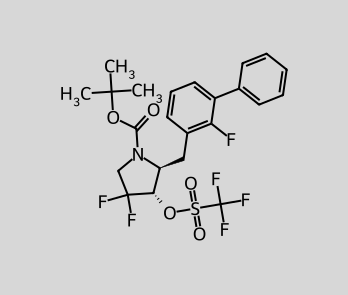 CC(C)(C)OC(=O)N1CC(F)(F)[C@@H](OS(=O)(=O)C(F)(F)F)[C@@H]1Cc1cccc(-c2ccccc2)c1F